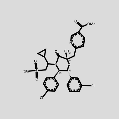 COC(=O)c1ccc(C[C@]2(C)O[C@H](c3cccc(Cl)c3)[C@@H](c3ccc(Cl)cc3)N(C(CS(=O)(=O)C(C)(C)C)C3CC3)C2=O)nc1